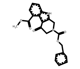 COC(=O)c1cccc2[nH]c3c(c12)C(=O)CN(C(=O)OCc1ccccc1)C3